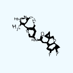 Cc1n[nH]c(C)c1-c1ncc(NC(=O)CC2c3cc(F)c(F)cc3OCC23CC3)cc1F